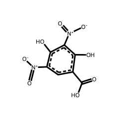 O=C(O)c1cc([N+](=O)[O-])c(O)c([N+](=O)[O-])c1O